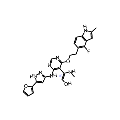 CN/C(=C\O)c1c(Nc2cc(-c3ccco3)[nH]n2)ncnc1OCCc1ccc2[nH]c(C)cc2c1F